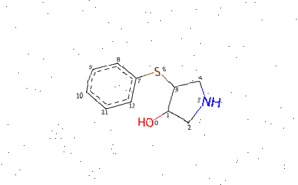 OC1CNCC1Sc1ccccc1